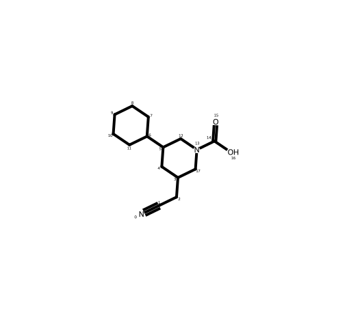 N#CCC1CC(C2CCCCC2)CN(C(=O)O)C1